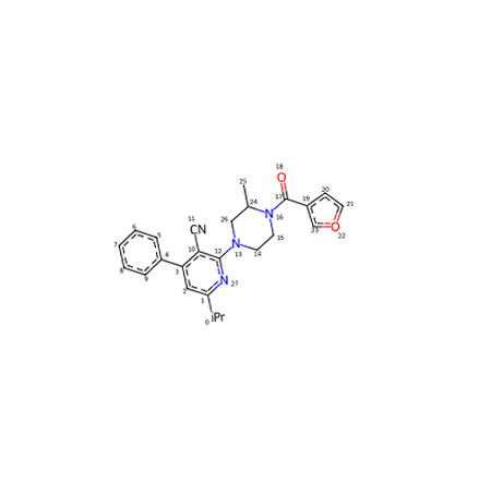 CC(C)c1cc(-c2ccccc2)c(C#N)c(N2CCN(C(=O)c3ccoc3)C(C)C2)n1